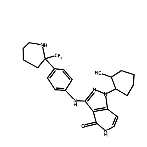 N#CC1CCCCC1n1nc(Nc2ccc(C3(C(F)(F)F)CCCCN3)cc2)c2c(=O)[nH]ccc21